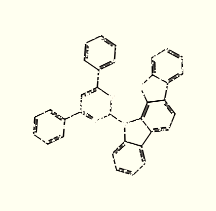 C1=C(c2ccccc2)NC(n2c3ccccc3c3ccc4c5ccccc5sc4c32)N=C1c1ccccc1